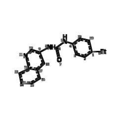 CCc1ccc(NC(=O)Nc2cnc3ccccc3c2)cc1